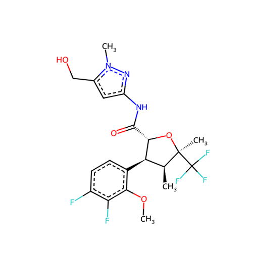 COc1c([C@H]2[C@H](C(=O)Nc3cc(CO)n(C)n3)O[C@@](C)(C(F)(F)F)[C@H]2C)ccc(F)c1F